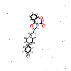 O=C1COc2ccccc2C(=O)N1CCCCN1CCC(c2ccc(Cl)cc2)CC1